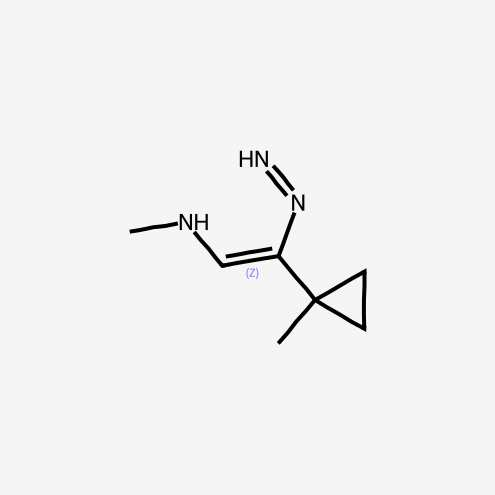 CN/C=C(\N=N)C1(C)CC1